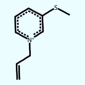 C=CC[n+]1cccc(SC)c1